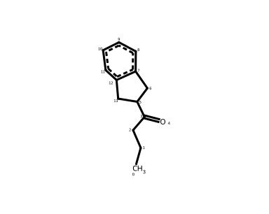 CCCC(=O)C1Cc2ccccc2C1